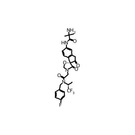 C[C@H](N(Cc1ccc(F)cc1)C(=O)CN1CO[C@]2(C(=O)Cc3cc(NC(=O)C(C)(C)N)ccc32)C1=O)C(F)(F)F